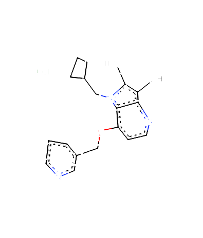 Cc1c(C)n(CC2CCC2)c2c(OCc3cccnc3)ccnc12.Cl